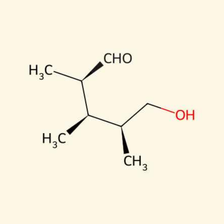 C[C@H]([C@H](C)CO)[C@@H](C)C=O